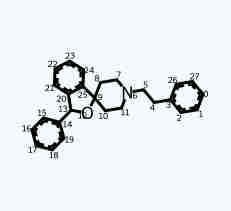 c1ccc(CCN2CCC3(CC2)OC(c2ccccc2)c2ccccc23)cc1